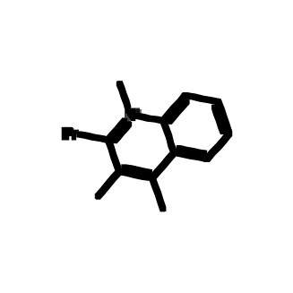 Cc1c(C)c2ccccc2[n+](C)c1C(C)C